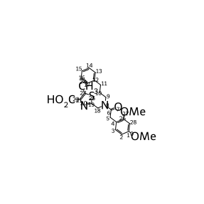 COc1ccc(CC(=O)N(CCCc2ccccc2)Cc2nc(C(=O)O)c(C)s2)c(OC)c1